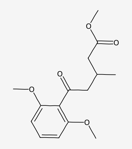 COC(=O)CC(C)CC(=O)c1c(OC)cccc1OC